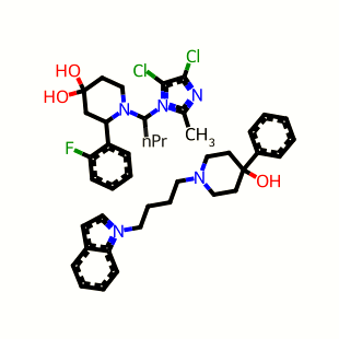 CCCC(N1CCC(O)(O)CC1c1ccccc1F)n1c(C)nc(Cl)c1Cl.OC1(c2ccccc2)CCN(CCCCn2ccc3ccccc32)CC1